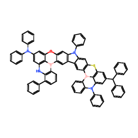 c1ccc(-c2cccc3c2Nc2cc(N(c4ccccc4)c4ccccc4)cc4c2B3c2cc3c5cc6c(cc5n(-c5ccccc5)c3cc2O4)Sc2cc(C(c3ccccc3)c3ccccc3)cc3c2B6c2ccccc2N3c2ccccc2)cc1